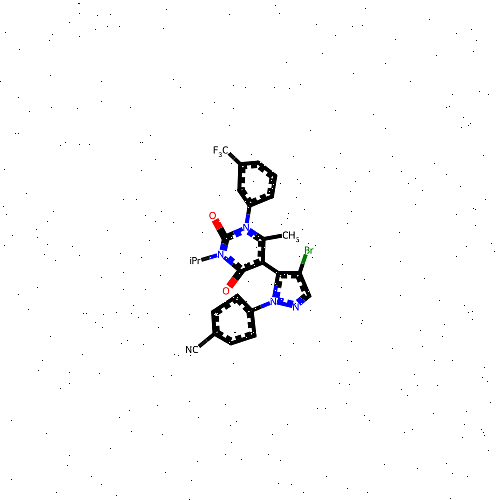 Cc1c(-c2c(Br)cnn2-c2ccc(C#N)cc2)c(=O)n(C(C)C)c(=O)n1-c1cccc(C(F)(F)F)c1